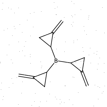 C=C1CC1B(C1CC1=C)C1CC1=C